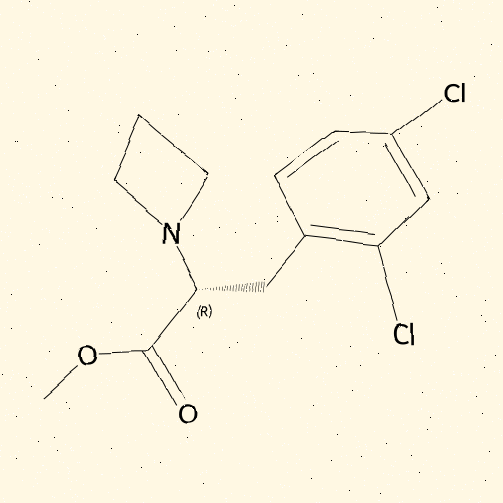 COC(=O)[C@@H](Cc1ccc(Cl)cc1Cl)N1CCC1